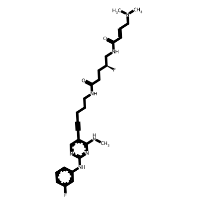 CNc1nc(Nc2cccc(F)c2)ncc1C#CCCCNC(=O)CC[C@H](F)CNC(=O)/C=C/CN(C)C